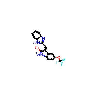 O=C1Nc2ccc(OC(F)(F)F)cc2/C1=C/C1=NC2C=CC=CC2N1